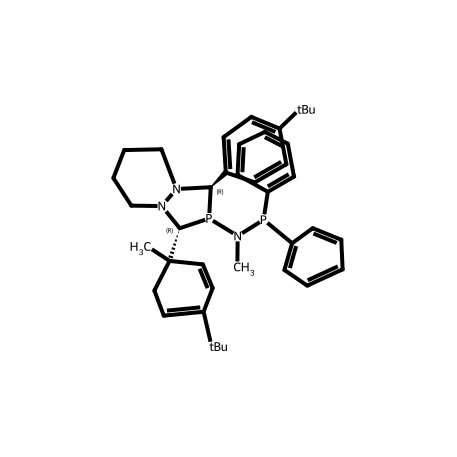 CN(P(c1ccccc1)c1ccccc1)P1[C@H](c2ccc(C(C)(C)C)cc2)N2CCCCN2[C@H]1C1(C)C=CC(C(C)(C)C)=CC1